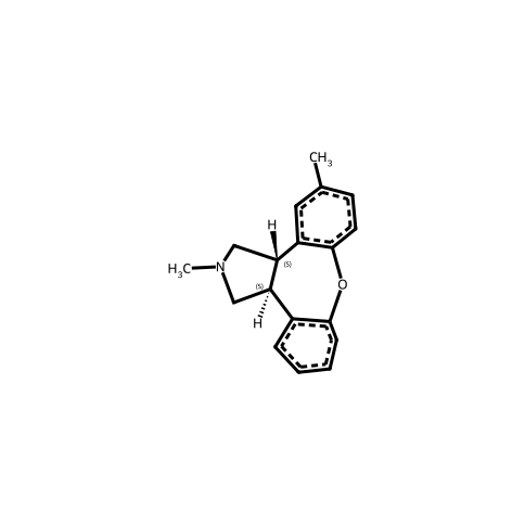 Cc1ccc2c(c1)[C@H]1CN(C)C[C@@H]1c1ccccc1O2